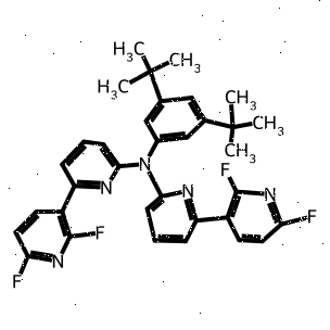 CC(C)(C)c1cc(N(c2cccc(-c3ccc(F)nc3F)n2)c2cccc(-c3ccc(F)nc3F)n2)cc(C(C)(C)C)c1